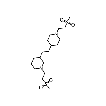 CS(=O)(=O)CCN1CCC(CCC2CCCN(CCS(C)(=O)=O)C2)CC1